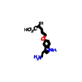 CCC(CCCOc1ccc2[nH]cc(CCN)c2c1)C(=O)O